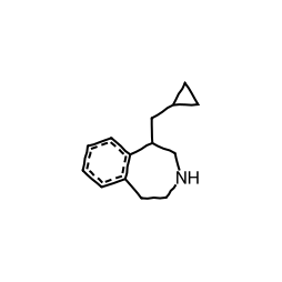 c1ccc2c(c1)CCNCC2CC1CC1